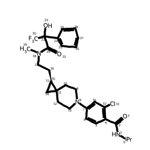 CC(C)NC(=O)c1ccc(N2CCC3(CC2)C[C@H]3CCN(C)C(=O)C(O)(c2ccccc2)C(F)(F)F)cc1Cl